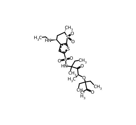 CCN[C@H]1C[C@H](C)S(=O)(=O)c2sc(S(=O)(=O)NC(C)(CC)C(=O)[C@H](C)OC(CC)(CC)C(C)=O)cc21